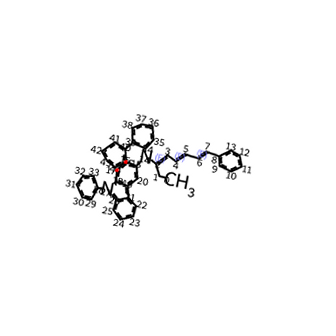 CC\C(=C/C=C/C=C/c1ccccc1)N(c1ccc2c(c1)c1ccccc1n2-c1ccccc1)c1ccccc1-c1ccccc1